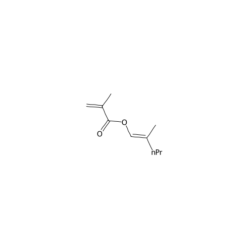 C=C(C)C(=O)OC=C(C)CCC